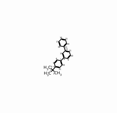 CC(C)(C)c1ccc(-c2[c]ccc(-c3ccccc3)c2)cc1